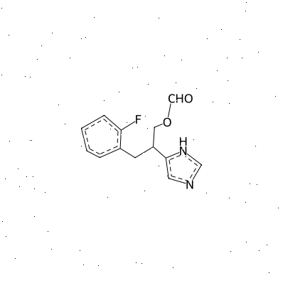 O=COCC(Cc1ccccc1F)c1cnc[nH]1